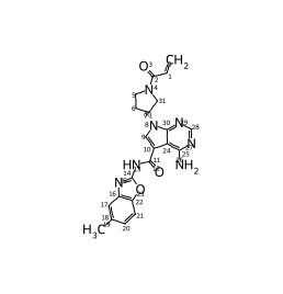 C=CC(=O)N1CC[C@@H](n2cc(C(=O)Nc3nc4cc(C)ccc4o3)c3c(N)ncnc32)C1